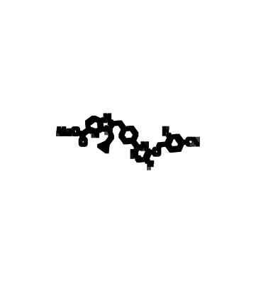 COC(=O)c1ccc2nc(CC3CC=C(c4ncc(F)c(OCc5ccc(C#N)cc5F)n4)CC3)n(CC3CC3)c2n1